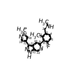 CNCc1ccc(F)c(-c2cc3c(-c4cnn(C)c4)n[nH]c3cn2)c1C